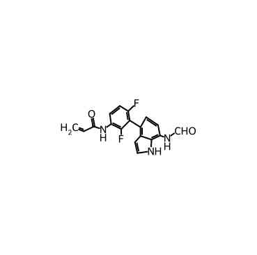 C=CC(=O)Nc1ccc(F)c(-c2ccc(NC=O)c3[nH]ccc23)c1F